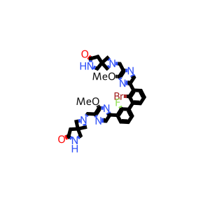 COc1nc(-c2cccc(-c3cccc(-c4cnc(CN5CC6(CNC(=O)C6)C5)c(OC)n4)c3Br)c2F)cnc1CN1CC2(CNC(=O)C2)C1